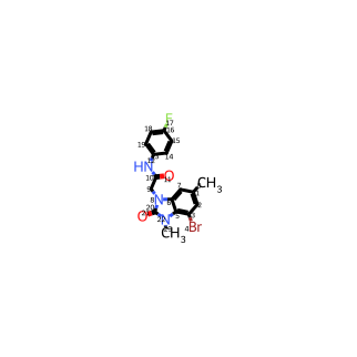 Cc1cc(Br)c2c(c1)n(CC(=O)Nc1ccc(F)cc1)c(=O)n2C